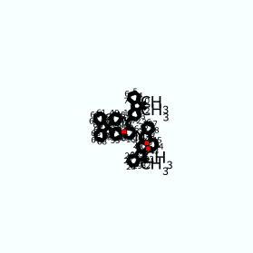 CC1(C)c2ccccc2-c2cc(N(c3cccc(N(c4ccc5c(c4)-c4ccccc4C5(C)C)c4ccccc4-c4ccccc4)c3)c3cccc(C4(c5ccccc5)c5ccccc5-c5ccccc54)c3)ccc21